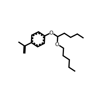 C=C(C)c1ccc(OC(CCCC)OCCCCC)cc1